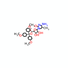 COCCC(OC(c1ccccc1)(c1ccc(OC)cc1)c1ccc(OC)cc1)[C@H]1O[C@@H](n2cc(C)c(N)nc2=O)[C@H](O)[C@@H]1O